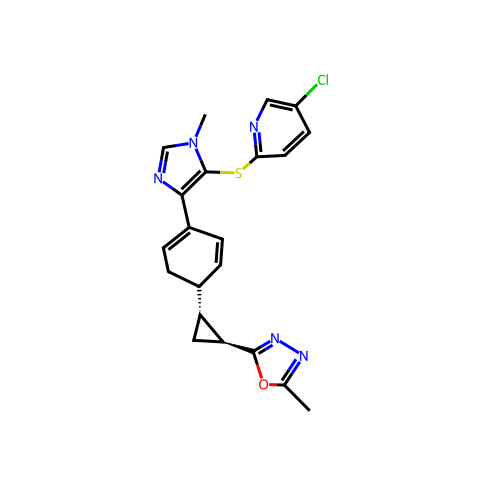 Cc1nnc([C@H]2C[C@@H]2C2C=CC(c3ncn(C)c3Sc3ccc(Cl)cn3)=CC2)o1